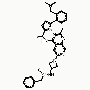 Cc1nc(NC(C)c2ccc(-c3ccccc3CN(C)C)s2)c2cc(N3CC(N[S+]([O-])Cc4ccccc4)C3)ncc2n1